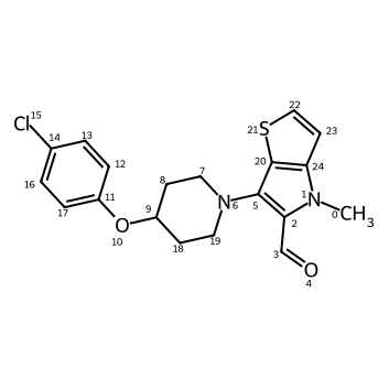 Cn1c(C=O)c(N2CCC(Oc3ccc(Cl)cc3)CC2)c2sccc21